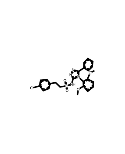 COc1cccc(OC)c1-n1c(NS(=O)(=O)CCc2ccc(Cl)cc2)nnc1-c1ccccc1